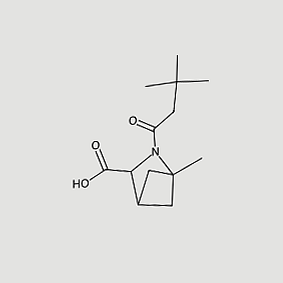 CC(C)(C)CC(=O)N1C(C(=O)O)C2CC1(C)C2